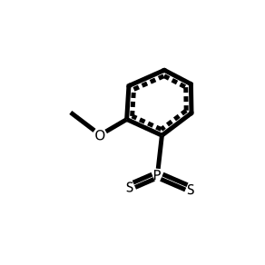 COc1ccccc1P(=S)=S